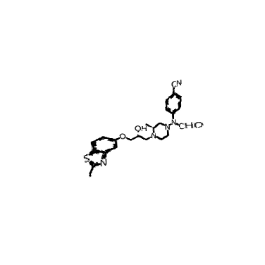 Cc1nc2cc(OC[C@H](O)CN3CCN(N(C=O)c4ccc(C#N)cc4)C[C@@H]3C)ccc2s1